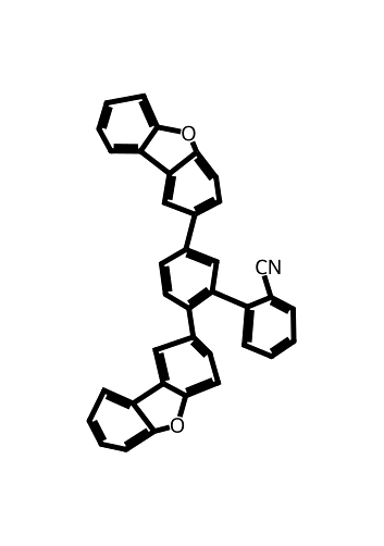 N#Cc1ccccc1-c1cc(-c2ccc3oc4ccccc4c3c2)ccc1-c1ccc2oc3ccccc3c2c1